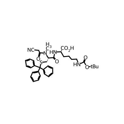 CN(C(=O)CC#N)[C@@H](CSC(c1ccccc1)(c1ccccc1)c1ccccc1)C(=O)N[C@@H](CCCCNC(=O)OC(C)(C)C)C(=O)O